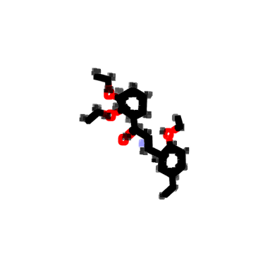 CCOc1ccc(CC)cc1/C=C/C(=O)c1cccc(OCC)c1OCC